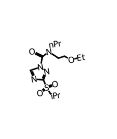 CCCN(CCOCC)C(=O)n1cnc(S(=O)(=O)C(C)C)n1